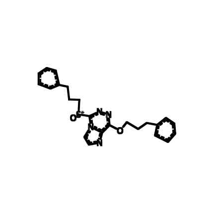 [O-][S+](CCCc1ccccc1)c1nnc(OCCCc2ccccc2)c2nccn12